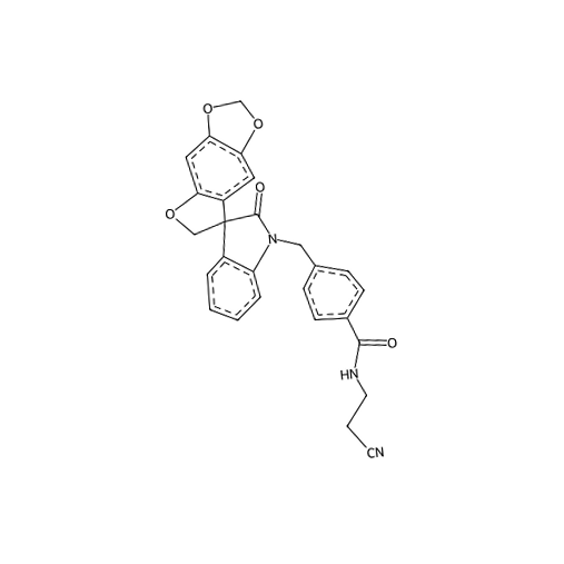 N#CCCNC(=O)c1ccc(CN2C(=O)C3(COc4cc5c(cc43)OCO5)c3ccccc32)cc1